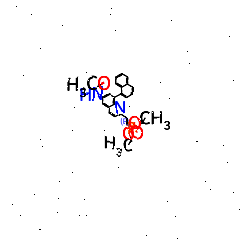 CCOP(=O)(/C=C/c1ccc2cc(NC(C)=O)cc(-c3cccc4ccccc34)c2n1)OCC